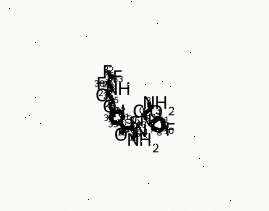 CC(C(N)=O)N(c1ccc(F)cc1)c1nc(N)c(C(=O)c2ccc(OCC(=O)NC(F)C(F)F)cc2)s1